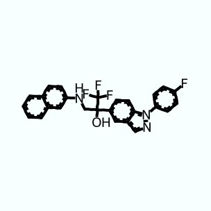 OC(CNc1ccc2ccccc2c1)(c1ccc2c(cnn2-c2ccc(F)cc2)c1)C(F)(F)F